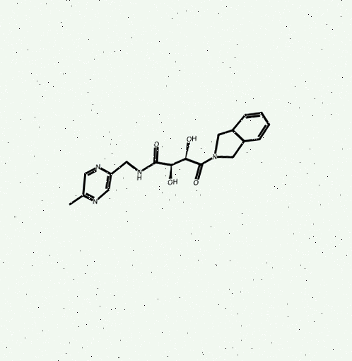 Cc1cnc(CNC(=O)[C@H](O)[C@@H](O)C(=O)N2CC3C=CC=CC3C2)cn1